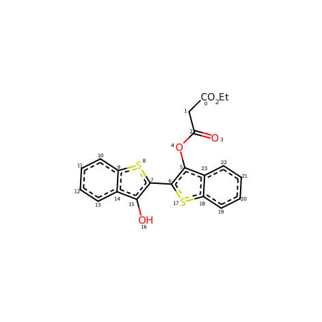 CCOC(=O)CC(=O)Oc1c(-c2sc3ccccc3c2O)sc2ccccc12